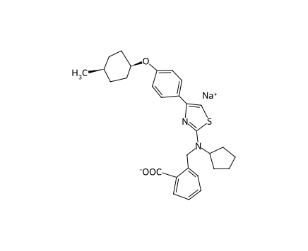 C[C@H]1CC[C@@H](Oc2ccc(-c3csc(N(Cc4ccccc4C(=O)[O-])C4CCCC4)n3)cc2)CC1.[Na+]